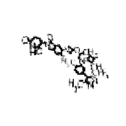 Cc1ccc(-c2c(C)noc2C)cc1N(CC(C)OC1CN(c2cc3c(cc2F)CN(C2CCC(=O)NC2=O)C3=O)C1)[C@@H]1CCC1C